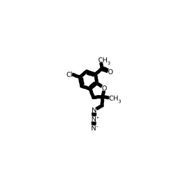 CC(=O)c1cc(Cl)cc2c1OC(C)(CN=[N+]=[N-])C2